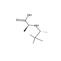 C[C@H](N[C@H](C)C(C)(C)C)C(=O)O